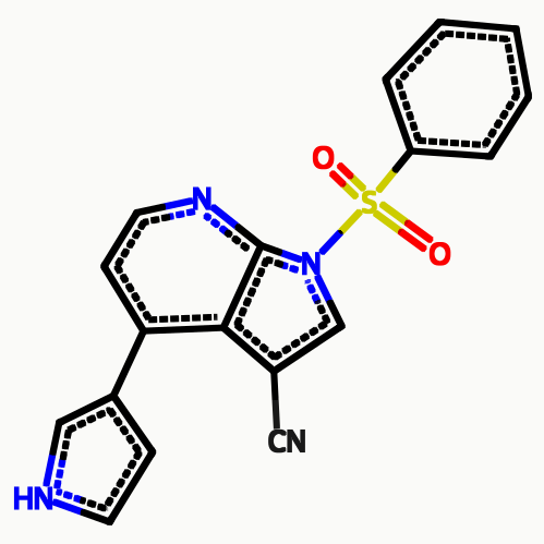 N#Cc1cn(S(=O)(=O)c2ccccc2)c2nccc(-c3cc[nH]c3)c12